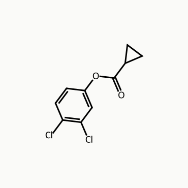 O=C(Oc1ccc(Cl)c(Cl)c1)C1CC1